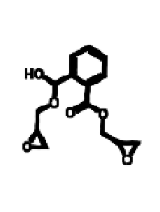 O=C(OCC1CO1)c1ccccc1C(O)OCC1CO1